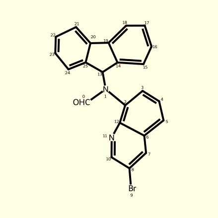 O=CN(c1cccc2cc(Br)cnc12)C1c2ccccc2-c2ccccc21